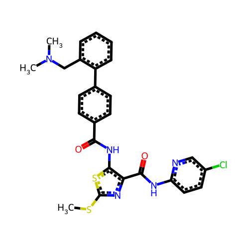 CSc1nc(C(=O)Nc2ccc(Cl)cn2)c(NC(=O)c2ccc(-c3ccccc3CN(C)C)cc2)s1